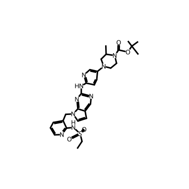 CCS(=O)(=O)Nc1ncccc1Cn1ccc2cnc(Nc3ccc(N4CCN(C(=O)OC(C)(C)C)C(C)C4)cn3)nc21